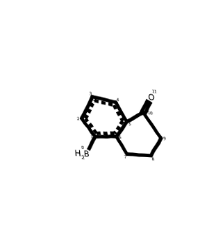 Bc1cccc2c1CCCC2=O